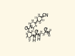 Cc1ccc(C(=O)N2CCC(c3ccc(C#N)cc3)CC2)cc1NC(=O)NCCC(=O)N(C)C